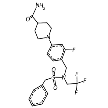 NC(=O)C1CCN(c2ccc(CN(CC(F)(F)F)S(=O)(=O)Cc3ccccc3)c(F)c2)CC1